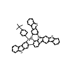 CC(C)(C)c1ccc(N2B3c4cc5c(cc4-n4c6cc7sc8ccccc8c7cc6c6ccc(c3c64)-c3cc4sc6ccccc6c4cc32)sc2ccccc25)cc1